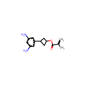 C=C(C)C(=O)OC1CC(c2cc(N)cc(N)c2)C1